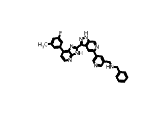 Cc1cc(F)cc(-c2ccnc3[nH]c(-c4n[nH]c5cnc(-c6cncc(CNCc7ccccc7)c6)cc45)nc23)c1